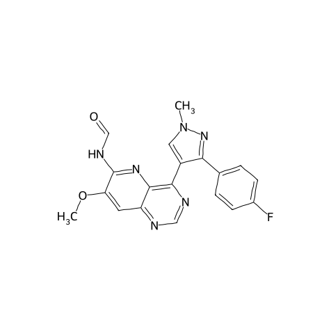 COc1cc2ncnc(-c3cn(C)nc3-c3ccc(F)cc3)c2nc1NC=O